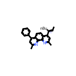 C/C=C(\CCCC)c1cc(C)nc2c1ccc1c(-c3ccccc3)cc(C)nc12